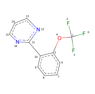 FC(F)(F)Oc1ccccc1-c1ncccn1